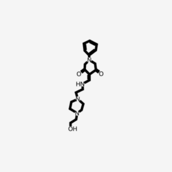 O=C1CN(c2ccccc2)CC(=O)C1=CNCCN1CCN(CCO)CC1